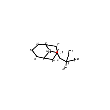 FC(F)(F)CCB1C2CCCC1CCC2